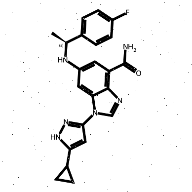 C[C@H](Nc1cc(C(N)=O)c2ncn(-c3cc(C4CC4)[nH]n3)c2c1)c1ccc(F)cc1